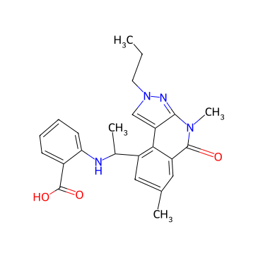 CCCn1cc2c3c(C(C)Nc4ccccc4C(=O)O)cc(C)cc3c(=O)n(C)c2n1